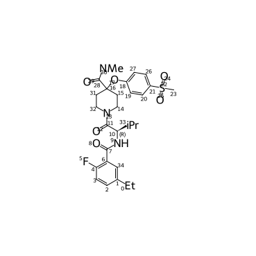 CCc1ccc(F)c(C(=O)N[C@@H](C(=O)N2CCC(Oc3ccc(S(C)(=O)=O)cc3)(C(=O)NC)CC2)C(C)C)c1